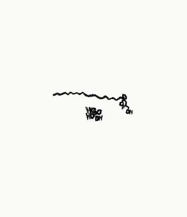 CCCCCCCCCCCCCCCCCCS(=O)(=O)CC(F)CO.O=P(O)(O)O